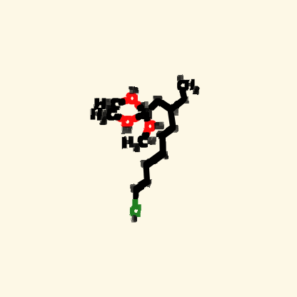 CCC(CCCCCCCl)C[Si](OC)(OC)OC